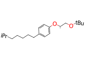 CC(C)CCCCCc1ccc(O[CH]COC(C)(C)C)cc1